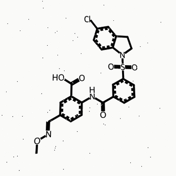 CON=Cc1ccc(NC(=O)c2cccc(S(=O)(=O)N3CCc4cc(Cl)ccc43)c2)c(C(=O)O)c1